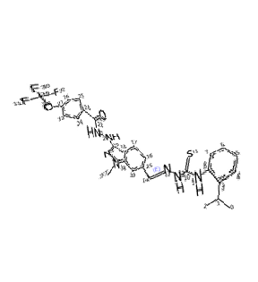 CC(C)c1ccccc1NC(=S)N/N=C/c1ccc2c(NNC(=O)c3ccc(OC(F)(F)F)cc3)nn(C)c2c1